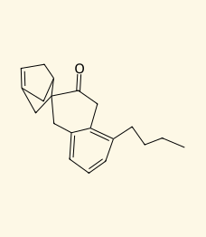 CCCCc1cccc2c1CC(=O)C1(CC3=CCC1C3)C2